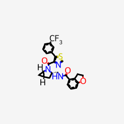 O=C(NC[C@@H]1C[C@@H]2C[C@@H]2N1C(=O)c1ncsc1-c1cccc(C(F)(F)F)c1)c1cccc2c1CCO2